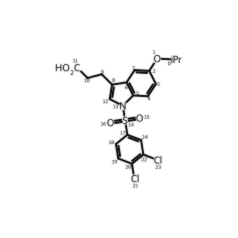 CC(C)Oc1ccc2c(c1)c(CCC(=O)O)cn2S(=O)(=O)c1ccc(Cl)c(Cl)c1